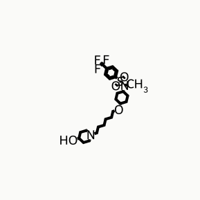 CN(C1CCC(OCCCCCCN2CCC(O)CC2)CC1)S(=O)(=O)c1ccc(C(F)(F)F)cc1